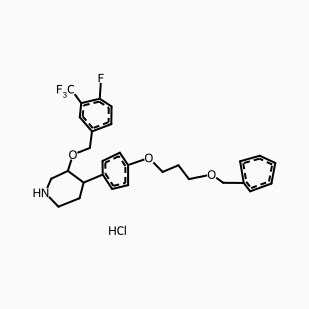 Cl.Fc1ccc(COC2CNCCC2c2ccc(OCCCOCc3ccccc3)cc2)cc1C(F)(F)F